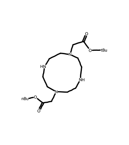 CCCCOC(=O)CN1CCNCCN(CC(=O)OC(C)(C)C)CCNCC1